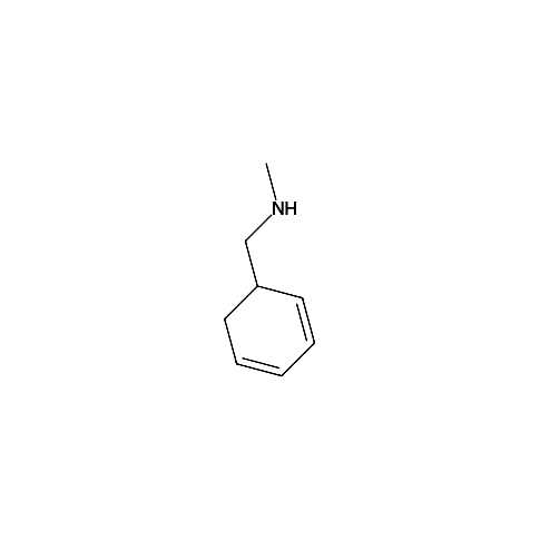 CNCC1C=CC=CC1